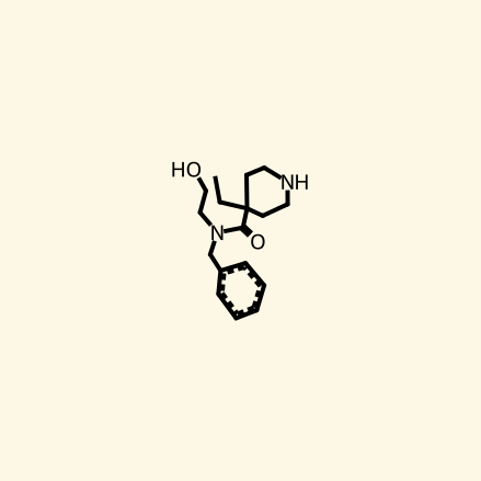 CCC1(C(=O)N(CCO)Cc2ccccc2)CCNCC1